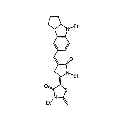 CCN1C(=O)/C(=c2\s/c(=C/c3ccc4c(c3)C3CCCC3N4CC)c(=O)n2CC)SC1=S